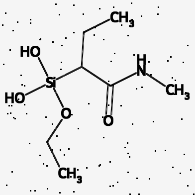 CCO[Si](O)(O)C(CC)C(=O)NC